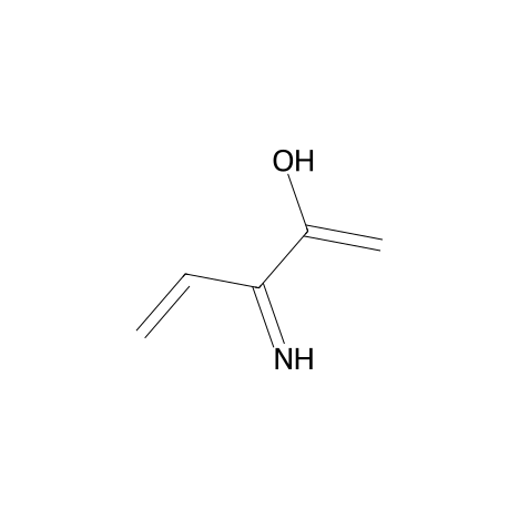 C=CC(=N)C(=C)O